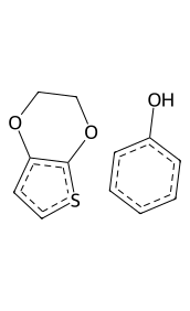 Oc1ccccc1.c1cc2c(s1)OCCO2